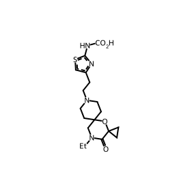 CCN1CC2(CCN(CCc3csc(NC(=O)O)n3)CC2)OC2(CC2)C1=O